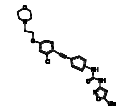 CC(C)(C)c1cc(NC(=O)Nc2ccc(C#Cc3ccc(OCCN4CCOCC4)cc3Cl)cc2)no1